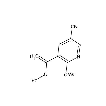 C=C(OCC)c1cc(C#N)cnc1OC